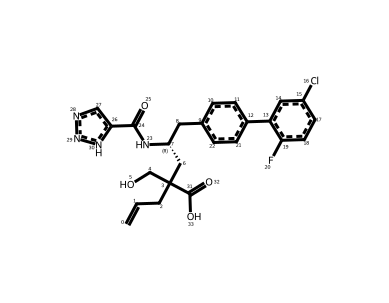 C=CCC(CO)(C[C@@H](Cc1ccc(-c2cc(Cl)ccc2F)cc1)NC(=O)c1cnn[nH]1)C(=O)O